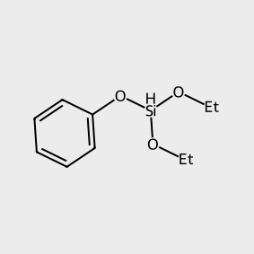 CCO[SiH](OCC)Oc1ccccc1